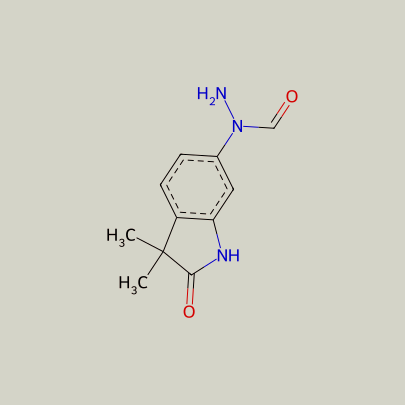 CC1(C)C(=O)Nc2cc(N(N)C=O)ccc21